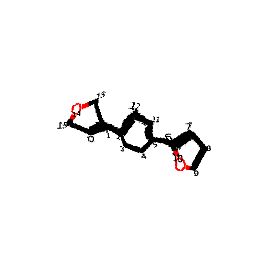 C1=C(c2ccc(-c3ccco3)cc2)COC1